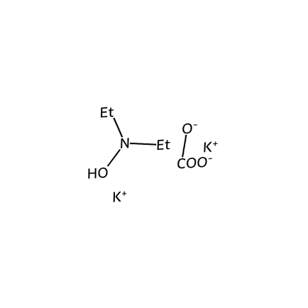 CCN(O)CC.O=C([O-])[O-].[K+].[K+]